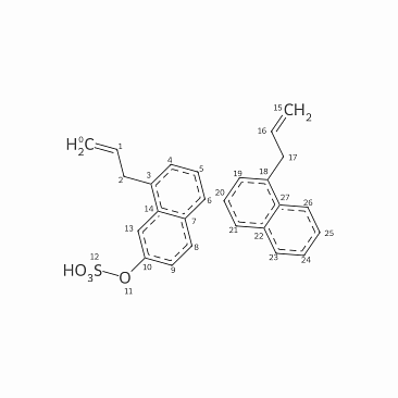 C=CCc1cccc2ccc(OS(=O)(=O)O)cc12.C=CCc1cccc2ccccc12